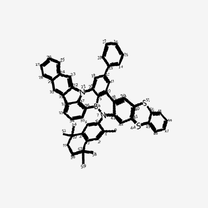 Cc1cc2c(cc1N1B3c4c(cc(-c5ccccc5)cc4-n4c5cc6ccccc6cc5c5cccc3c54)-c3cc4c(cc31)Sc1ccccc1S4)C(C)(C)CCC2(C)C